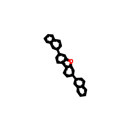 c1ccc2cc(-c3ccc4c(c3)oc3cc(-c5ccc6ccccc6c5)ccc34)ccc2c1